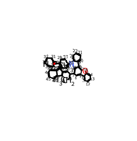 C=C1/C(=C\C(=C/C)c2cc3c4ccccc4oc3c3c4ccccc4n(-c4ccc(-c5ccccc5)cc4)c23)C(C)(C)c2ccccc21